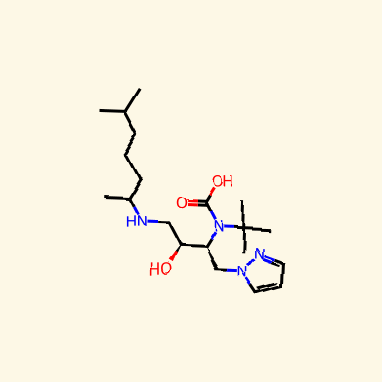 CC(C)CCCC(C)NC[C@H](O)[C@H](Cn1cccn1)N(C(=O)O)C(C)(C)C